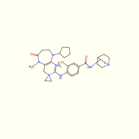 COc1cc(C(=O)NC2CN3CCC2CC3)ccc1NC1=NC2=C(C[N+]13CC3)N(C)C(=O)CCN2C1CCCC1